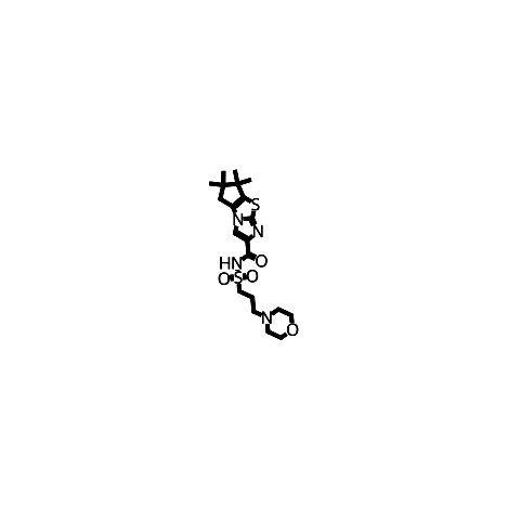 CC1(C)Cc2c(sc3nc(C(=O)NS(=O)(=O)CCCN4CCOCC4)cn23)C1(C)C